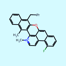 Cc1c2c(c(CC(C)C)c3ccccc13)Oc1cc3cccc(F)c3c3cc[n+](C)c-2c13